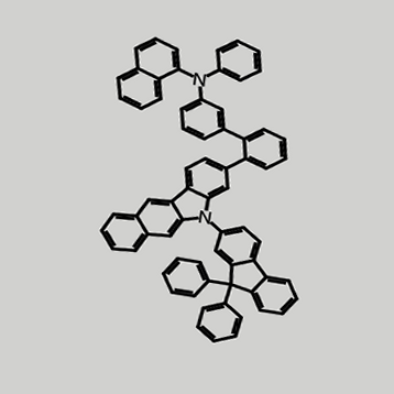 c1ccc(N(c2cccc(-c3ccccc3-c3ccc4c5cc6ccccc6cc5n(-c5ccc6c(c5)C(c5ccccc5)(c5ccccc5)c5ccccc5-6)c4c3)c2)c2cccc3ccccc23)cc1